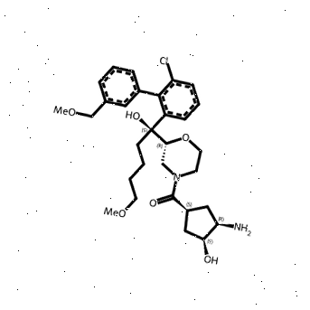 COCCCC[C@](O)(c1cccc(Cl)c1-c1cccc(COC)c1)[C@H]1CN(C(=O)[C@H]2C[C@@H](N)[C@@H](O)C2)CCO1